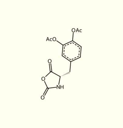 CC(=O)Oc1ccc(C[C@@H]2NC(=O)OC2=O)cc1OC(C)=O